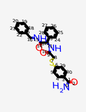 NC(=O)c1ccc(SCC(=O)NC(C(=O)NCc2ccccc2)c2ccccc2)cc1